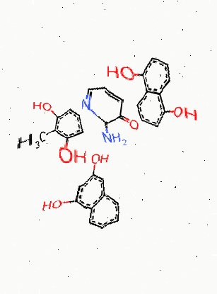 Cc1c(O)cccc1O.NC1N=CC=CC1=O.Oc1cc(O)c2ccccc2c1.Oc1cccc2c(O)cccc12